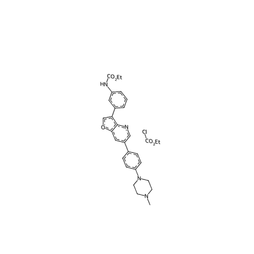 CCOC(=O)Cl.CCOC(=O)Nc1cccc(-c2coc3cc(-c4ccc(N5CCN(C)CC5)cc4)cnc23)c1